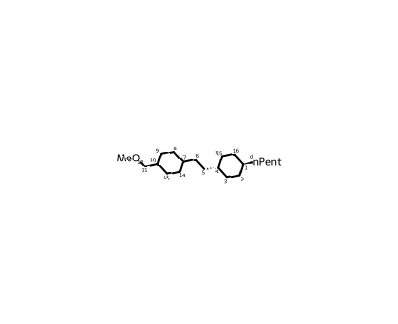 CCCCC[C@H]1CC[C@H](CCC2CCC(COC)CC2)CC1